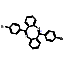 Brc1ccc(/C2=N/c3ccccc3/C(c3ccc(Br)cc3)=N\c3ccccc32)cc1